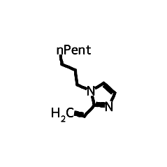 C=Cc1nccn1CCCCCCCC